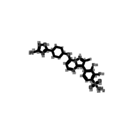 Cc1nn2c(OC3CCC(c4nc(C(C)C)no4)CC3)ccnc2c1-c1ccc(S(N)(=O)=O)c(F)c1F